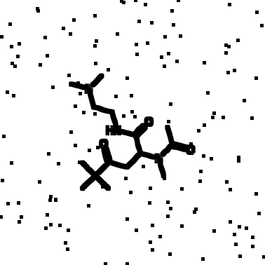 CC(=O)N(C)C(CC(=O)C(C)(C)C)C(=O)NCCN(C)C